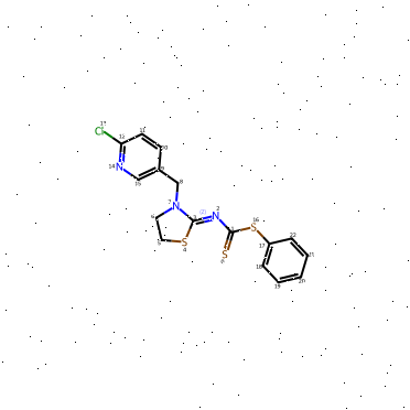 S=C(/N=C1\SCCN1Cc1ccc(Cl)nc1)Sc1ccccc1